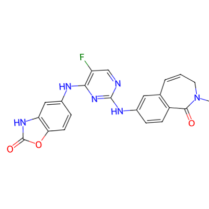 CN1CC=Cc2cc(Nc3ncc(F)c(Nc4ccc5oc(=O)[nH]c5c4)n3)ccc2C1=O